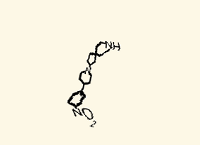 O=[N+]([O-])c1ccc(C2CCN(C3CCC4(CCNCC4)C3)CC2)cc1